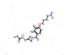 CCC(=O)NCC1CN(C(C)c2ccc(OCCCCN(C)C)c(C)c2C)C1